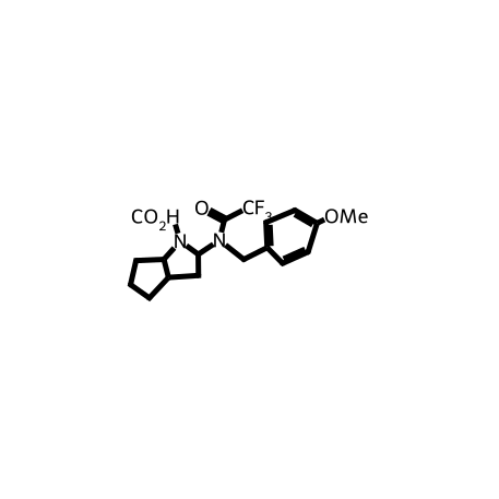 COc1ccc(CN(C(=O)C(F)(F)F)C2CC3CCCC3N2C(=O)O)cc1